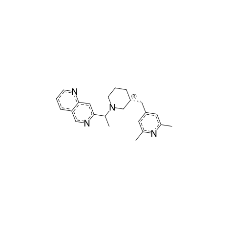 Cc1cc(C[C@H]2CCCN(C(C)c3cc4ncccc4cn3)C2)cc(C)n1